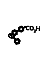 O=C(O)Cc1ccc(-c2ccc3occ(-c4ccccc4)c3c2)cc1